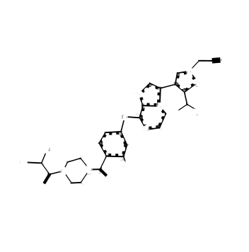 C#CCn1cc(-c2cnc3c(Nc4ccc(C(=O)N5CCN(C(=O)C(N)C(C)C)CC5)c(CC)c4)nccn23)c(C(F)F)n1